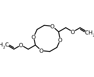 C=COCC1OCCOC(COC=C)OCCO1